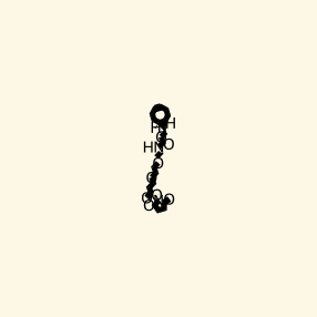 O=C(CCOCCOCCNC(=O)OC[C@@H]1[C@@H]2CCC#CCC[C@@H]21)ON1C(=O)CCC1=O